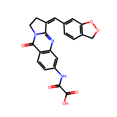 O=C(O)C(=O)Nc1ccc2c(=O)n3c(nc2c1)/C(=C\c1ccc2c(c1)OOC2)CC3